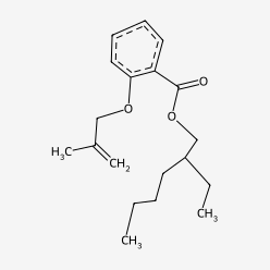 C=C(C)COc1ccccc1C(=O)OCC(CC)CCCC